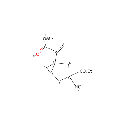 [C-]#[N+]C1(C(=O)OCC)CC2CC2(C(=C)C(=O)OC)C1